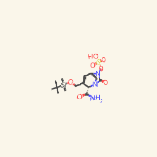 CC(C)(C)[Si](C)(C)OCC1=CC2CN(C(=O)N2OS(=O)(=O)O)[C@@H]1C(N)=O